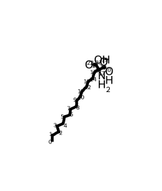 CCCCCCCCCCCCCCCCC(N)(C(=O)O)C(=O)O